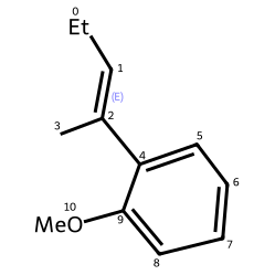 CC/C=C(\C)c1ccccc1OC